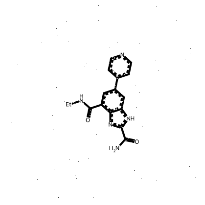 CCNC(=O)c1cc(-c2ccncc2)cc2[nH]c(C(N)=O)nc12